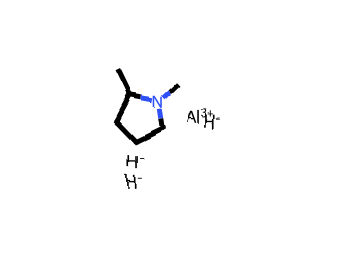 CC1CCCN1C.[Al+3].[H-].[H-].[H-]